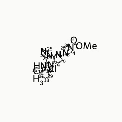 COC(=O)N1CCN(c2ccc3nc(Nc4c(C)cccc4Cl)c4cncn4c3n2)CC1